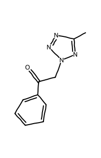 Cc1nnn(CC(=O)c2ccccc2)n1